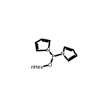 CCCCCCOP(n1cccc1)n1cccc1